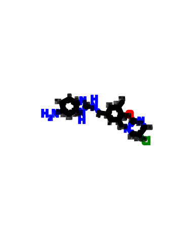 Cc1cc(CNc2nc3ccc(N)cc3[nH]2)cc(C)c1Oc1ncc(Cl)cn1